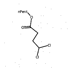 CCCCCOC(=O)CCC(Cl)Cl